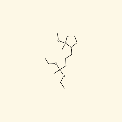 CCO[Si](C)(CCCN1CCC[Si]1(C)OC)OCC